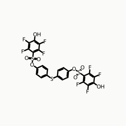 O=S(=O)(Oc1ccc(Sc2ccc(OS(=O)(=O)c3c(F)c(F)c(O)c(F)c3F)cc2)cc1)c1c(F)c(F)c(O)c(F)c1F